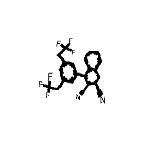 N#Cc1cc2ccccc2c(-c2cc(CC(F)(F)F)cc(CC(F)(F)F)c2)c1C#N